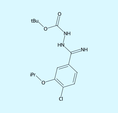 CC(C)Oc1cc(C(=N)NNC(=O)OC(C)(C)C)ccc1Cl